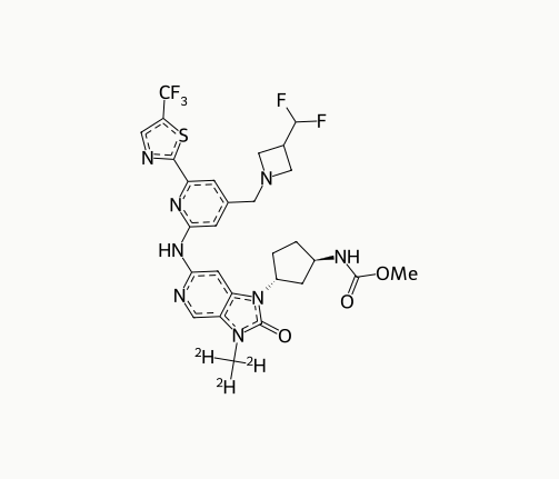 [2H]C([2H])([2H])n1c(=O)n([C@@H]2CC[C@@H](NC(=O)OC)C2)c2cc(Nc3cc(CN4CC(C(F)F)C4)cc(-c4ncc(C(F)(F)F)s4)n3)ncc21